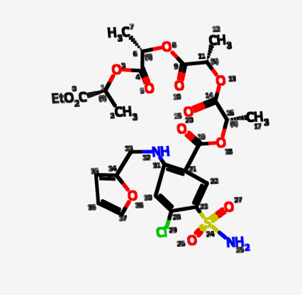 CCOC(=O)[C@H](C)OC(=O)[C@H](C)OC(=O)[C@H](C)OC(=O)[C@H](C)OC(=O)c1cc(S(N)(=O)=O)c(Cl)cc1NCc1ccco1